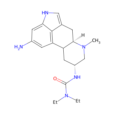 CCN(CC)C(=O)N[C@@H]1CC2c3cc(N)cc4[nH]cc(c34)C[C@H]2N(C)C1